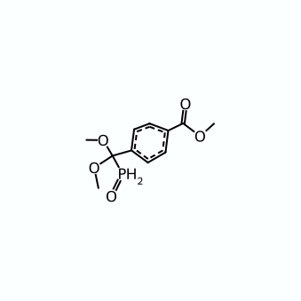 COC(=O)c1ccc(C(OC)(OC)[PH2]=O)cc1